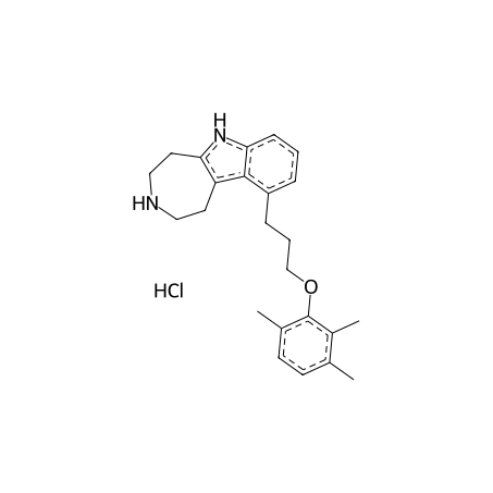 Cc1ccc(C)c(OCCCc2cccc3[nH]c4c(c23)CCNCC4)c1C.Cl